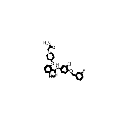 NC(=O)CN1CCC(Oc2cccc3ncnc(Nc4ccc(OCc5cccc(F)c5)c(Cl)c4)c23)CC1